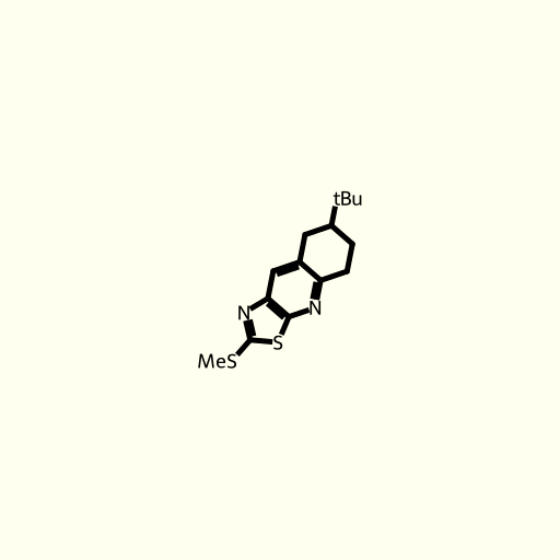 CSc1nc2cc3c(nc2s1)CCC(C(C)(C)C)C3